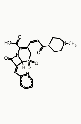 CN1CCN(C(=O)/C=C\C2=C(C(=O)O)N3C(=O)/C(=C/c4ccccn4)[C@H]3S(=O)(=O)C2)CC1